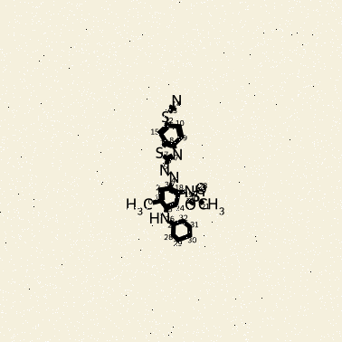 Cc1cc(/N=N/c2nc3ccc(SC#N)cc3s2)c(NS(C)(=O)=O)cc1NC1CCCCC1